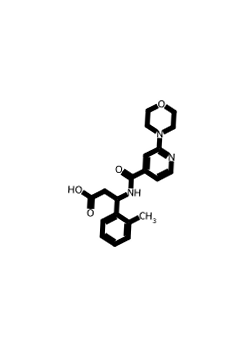 Cc1ccccc1C(CC(=O)O)NC(=O)c1ccnc(N2CCOCC2)c1